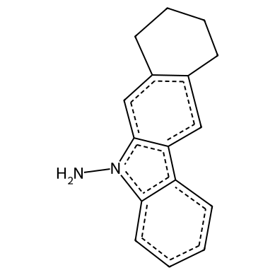 Nn1c2ccccc2c2cc3c(cc21)CCCC3